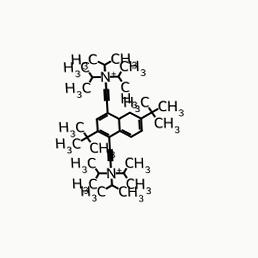 CC(C)[N+](C#CC1=CC(C(C)(C)C)=C(C#C[N+](C(C)C)(C(C)C)C(C)C)C2=CC=C(C(C)(C)C)CC12)(C(C)C)C(C)C